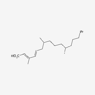 CC(C=CCC(C)CCCC(C)CCCC(C)C)=CC(=O)O